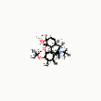 [2H]OC1([2H])C=C[C@]2([2H])[C@@]34CCN(C([2H])([2H])[2H])[C@]2([2H])C([2H])([2H])c2c([2H])c([2H])c(OC([2H])([2H])[2H])c(c23)OC14[2H]